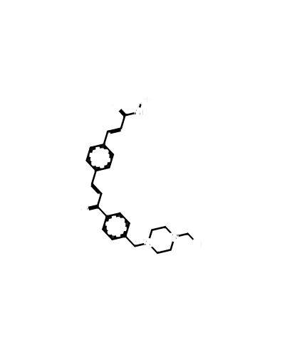 CCN1CCN(Cc2ccc(C(=O)C=Cc3ccc(C=CC(=O)NO)cc3)cc2)CC1